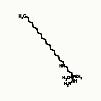 CCCCCCCCCCCCCCCCCCNCCC[N+](C)(C)NN